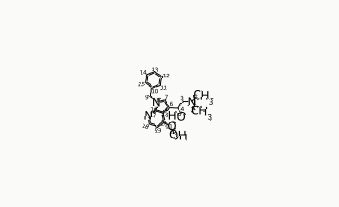 CN(C)CC(O)c1cn(Cc2ccccc2)c2nccc(OO)c12